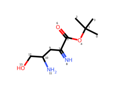 CC(C)(C)OC(=O)C(=N)CC(N)CO